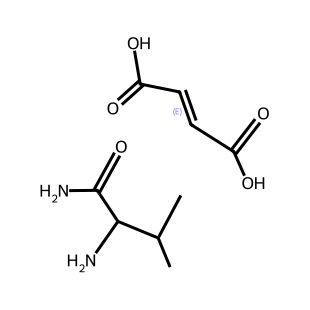 CC(C)C(N)C(N)=O.O=C(O)/C=C/C(=O)O